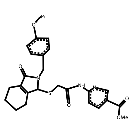 COC(=O)c1ccc(NC(=O)CSC2C3=C(CCCC3)C(=O)N2Cc2ccc(OC(C)C)cc2)nc1